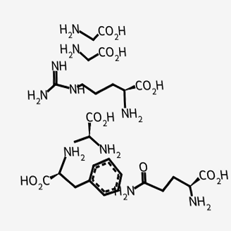 C[C@H](N)C(=O)O.N=C(N)NCCC[C@H](N)C(=O)O.NC(=O)CC[C@H](N)C(=O)O.NCC(=O)O.NCC(=O)O.N[C@@H](Cc1ccccc1)C(=O)O